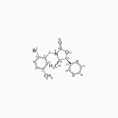 Cc1ccc(Br)c(CN2C(=O)O[C@@H](c3ccccc3)[C@H]2C)c1